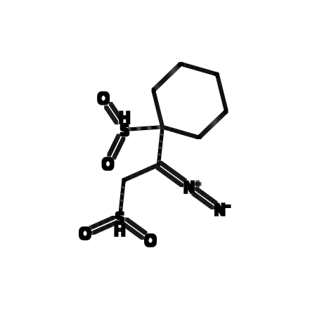 [N-]=[N+]=C(C[SH](=O)=O)C1([SH](=O)=O)CCCCC1